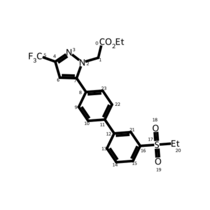 CCOC(=O)Cn1nc(C(F)(F)F)cc1-c1ccc(-c2cccc(S(=O)(=O)CC)c2)cc1